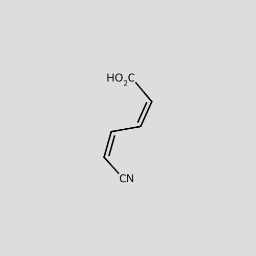 N#C/C=C\C=C/C(=O)O